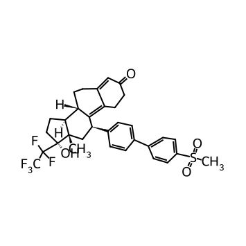 C[C@]12C[C@H](c3ccc(-c4ccc(S(C)(=O)=O)cc4)cc3)C3=C4CCC(=O)C=C4CC[C@H]3[C@@H]1CC[C@]2(O)C(F)(F)C(F)(F)F